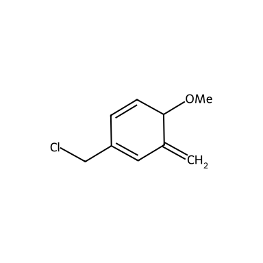 C=C1C=C(CCl)C=CC1OC